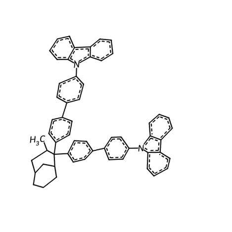 CC1CC2CCCC(C2)C1(c1ccc(-c2ccc(-n3c4ccccc4c4ccccc43)cc2)cc1)c1ccc(-c2ccc(-n3c4ccccc4c4ccccc43)cc2)cc1